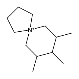 CC1C[N+]2(CCCC2)CC(C)C1C